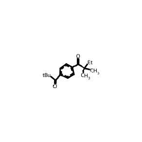 CCC(C)(C)C(=O)c1ccc(C(=O)C(C)(C)C)cc1